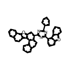 c1ccc(-c2nc(-c3cc4oc5c6ccccc6ccc5c4c4c3ccc3ccccc34)nc(-c3cccc4oc5ccccc5c34)n2)cc1